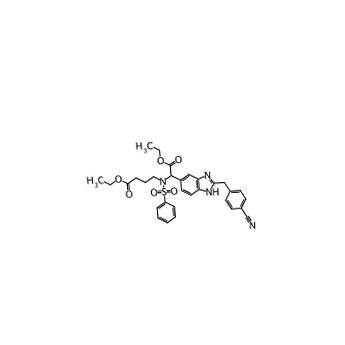 CCOC(=O)CCCN(C(C(=O)OCC)c1ccc2[nH]c(Cc3ccc(C#N)cc3)nc2c1)S(=O)(=O)c1ccccc1